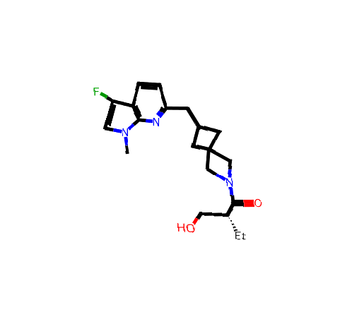 CC[C@H](CO)C(=O)N1CC2(CC(Cc3ccc4c(F)cn(C)c4n3)C2)C1